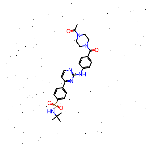 CC(=O)N1CCN(C(=O)c2ccc(Nc3nccc(-c4ccc(S(=O)(=O)NC(C)(C)C)cc4)n3)cc2)CC1